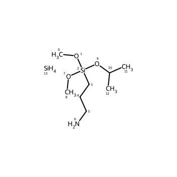 CO[Si](CCCN)(OC)OC(C)C.[SiH4]